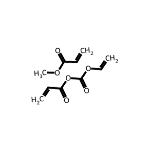 C=CC(=O)OC.C=COC(=O)OC(=O)C=C